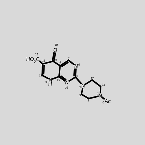 CC(=O)N1CCN(c2ncc3c(=O)c(C(=O)O)c[nH]c3n2)CC1